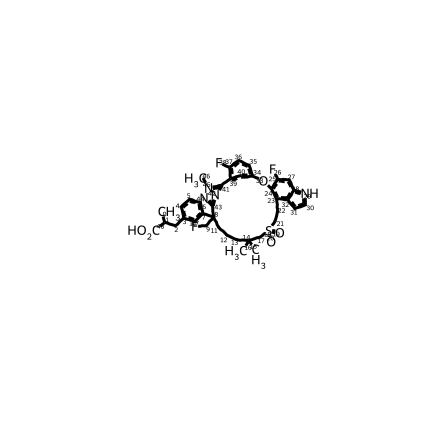 CC(Cc1cccc(C2(CF)CCCC(C)(C)CS(=O)(=O)CCc3c(c(F)cc4[nH]ccc34)Oc3ccc(F)c(c3)-c3nc2nn3C)c1)C(=O)O